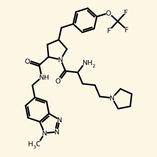 Cn1nnc2cc(CNC(=O)C3CC(Cc4ccc(OC(F)(F)F)cc4)CN3C(=O)C(N)CCCN3CCCC3)ccc21